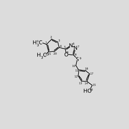 Cc1ccc(-c2nnc(SCc3ccc(CO)cc3)o2)cc1C